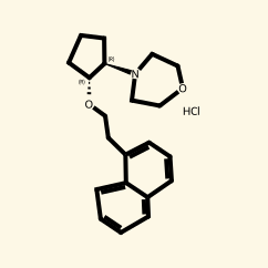 Cl.c1ccc2c(CCO[C@@H]3CCC[C@H]3N3CCOCC3)cccc2c1